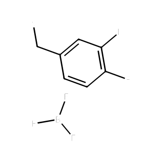 FB(F)F.Fc1ccc([CH2][K])cc1F